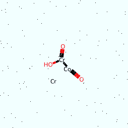 [Cr].[O]=[Co][Cr](=[O])[OH]